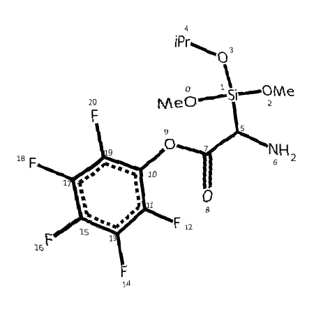 CO[Si](OC)(OC(C)C)C(N)C(=O)Oc1c(F)c(F)c(F)c(F)c1F